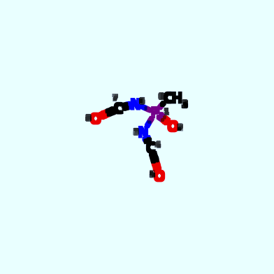 CP(=O)(N=C=O)N=C=O